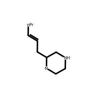 CCCC=CCC1CNCC[N]1